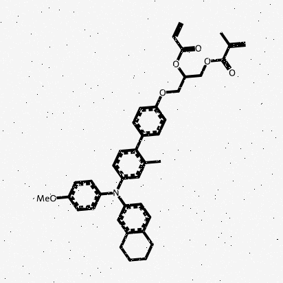 C=CC(=O)OC(COC(=O)C(=C)C)COc1ccc(-c2ccc(N(c3ccc(OC)cc3)c3ccc4c(c3)CCCC4)cc2C)cc1